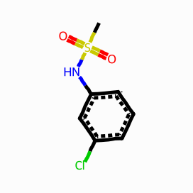 CS(=O)(=O)Nc1[c]ccc(Cl)c1